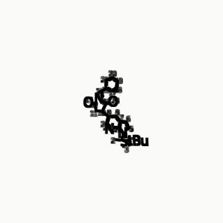 CC(C)(C)[Si](C)(C)n1ccc2cc(C3CC(=O)N(Cc4ccccc4)C3=O)cnc21